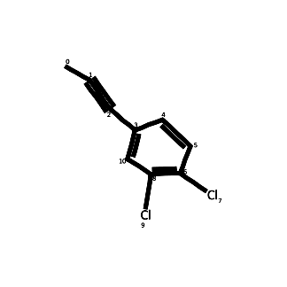 CC#Cc1ccc(Cl)c(Cl)c1